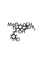 COc1cc2c(c(O)c1C(=O)/C=C/c1cccc(Cl)c1)C=CC(C)(C)O2